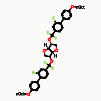 CCCCCCCCOc1ccc(-c2ccc(C(F)(F)O[C@H]3CO[C@@H]4[C@H]3OC[C@H]4OC(F)(F)c3ccc(-c4ccc(OCCCCCCCC)cc4)c(F)c3)cc2F)cc1